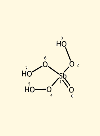 [O]=[Sb]([O]O)([O]O)[O]O